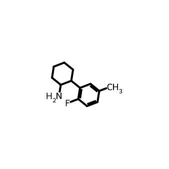 Cc1ccc(F)c(C2CCCCC2N)c1